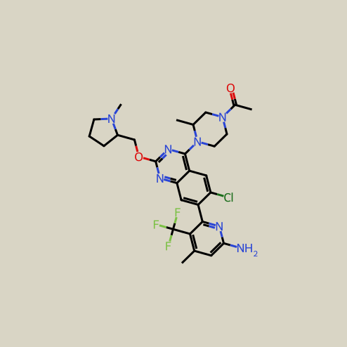 CC(=O)N1CCN(c2nc(OCC3CCCN3C)nc3cc(-c4nc(N)cc(C)c4C(F)(F)F)c(Cl)cc23)C(C)C1